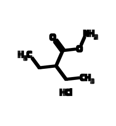 CCC(CC)C(=O)ON.Cl